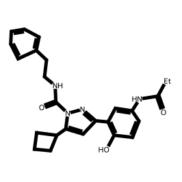 CCC(=O)Nc1ccc(O)c(-c2cc(C3CCC3)n(C(=O)NCCc3ccccc3)n2)c1